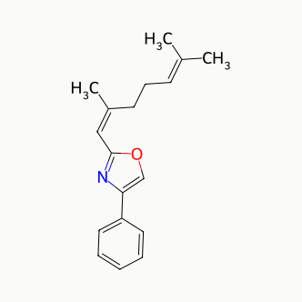 CC(C)=CCCC(C)=Cc1nc(-c2ccccc2)co1